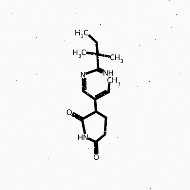 C/C=C(\C=N/C(=N)C(C)(C)CC)C1CCC(=O)NC1=O